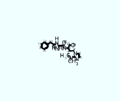 CN(C)c1nccn1CCC(C=O)NC(=O)c1nnc(Cc2ccccc2)[nH]1